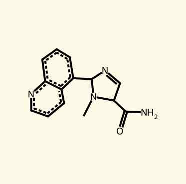 CN1C(C(N)=O)C=NC1c1cccc2ncccc12